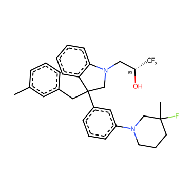 Cc1cccc(CC2(c3cccc(N4CCCC(C)(F)C4)c3)CN(C[C@@H](O)C(F)(F)F)c3ccccc32)c1